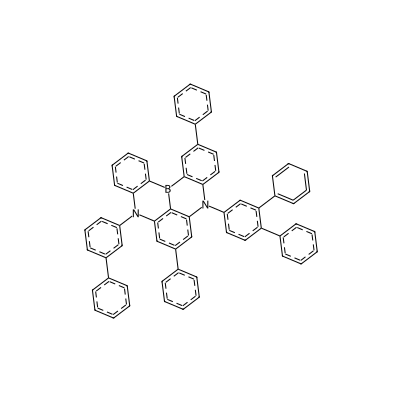 C1=C=C(c2cc(N3c4ccc(-c5ccccc5)cc4B4c5ccccc5N(c5cccc(-c6ccccc6)c5)c5cc(-c6ccccc6)cc3c54)ccc2-c2ccccc2)C=CC=1